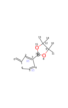 C=C/C=C(\C=C/C)B1OC(C)(C)C(C)(C)O1